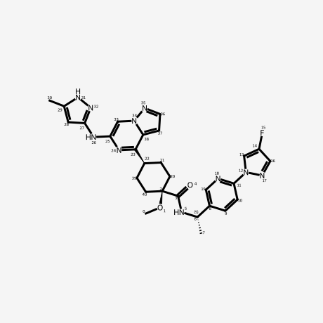 CO[C@]1(C(=O)N[C@@H](C)c2ccc(-n3cc(F)cn3)nc2)CC[C@H](c2nc(Nc3cc(C)[nH]n3)cn3nccc23)CC1